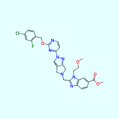 COCCn1c(CN2Cc3cn(-c4ccnc(OCc5ccc(Cl)cc5F)n4)nc3C2)nc2ccc(C(=O)OC)cc21